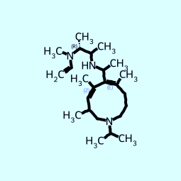 C=CN(C)[C@H](C)C(C)NC(C)C1=C(\C)CCCN(C(C)C)CC(C)/C=C\1C